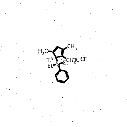 CC[Si](CC)(c1ccccc1)[C]1([Ti+3])C(C)=CC(C)=C1C.[Cl-].[Cl-].[Cl-]